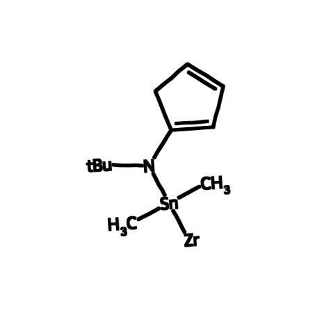 CC(C)(C)[N](C1=CC=CC1)[Sn]([CH3])([CH3])[Zr]